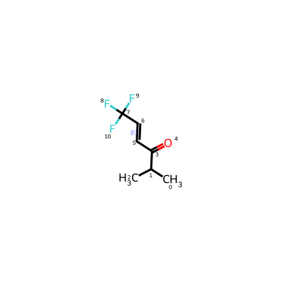 CC(C)C(=O)/C=C/C(F)(F)F